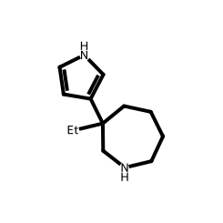 CCC1(c2cc[nH]c2)CCCCNC1